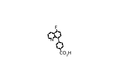 O=C(O)c1ccc(-c2ccc(F)c3cccnc23)cc1